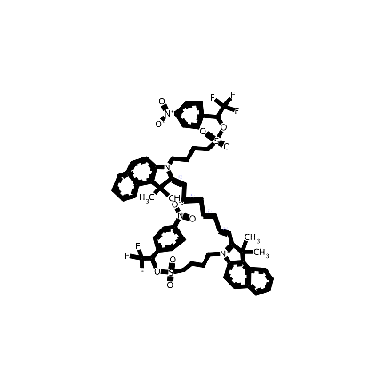 CC1(C)C(/C=C/C=C/C=C/C=C2/N(CCCCS(=O)(=O)OC(c3ccc([N+](=O)[O-])cc3)C(F)(F)F)c3ccc4ccccc4c3C2(C)C)=[N+](CCCCS(=O)(=O)OC(c2ccc([N+](=O)[O-])cc2)C(F)(F)F)c2ccc3ccccc3c21